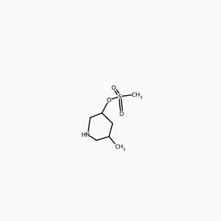 CC1CNCC(OS(C)(=O)=O)C1